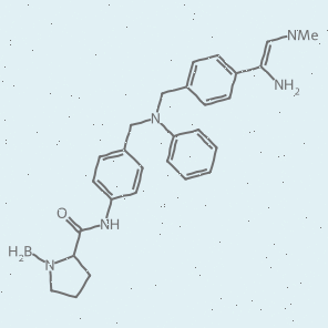 BN1CCCC1C(=O)Nc1ccc(CN(Cc2ccc(/C(N)=C/NC)cc2)c2ccccc2)cc1